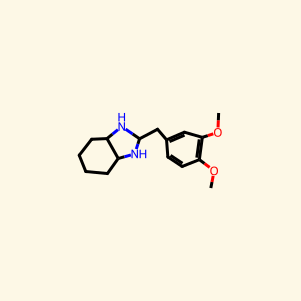 COc1ccc(CC2NC3CCCCC3N2)cc1OC